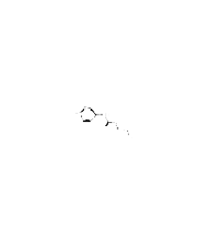 O=C(NCCS(=O)(=O)O)Nc1ccc(C(F)(F)F)cc1